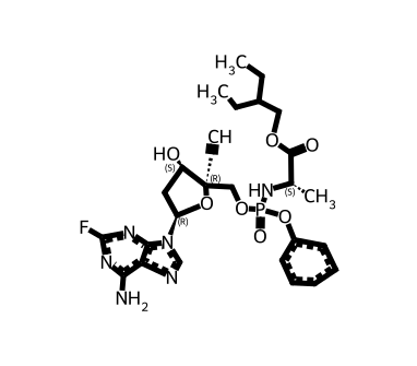 C#C[C@]1(COP(=O)(N[C@@H](C)C(=O)OCC(CC)CC)Oc2ccccc2)O[C@@H](n2cnc3c(N)nc(F)nc32)C[C@@H]1O